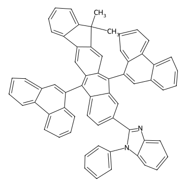 CC1(C)c2ccccc2-c2cc3c(-c4cc5ccccc5c5ccccc45)c4ccc(-c5nc6ccccc6n5-c5ccccc5)cc4c(-c4cc5ccccc5c5ccccc45)c3cc21